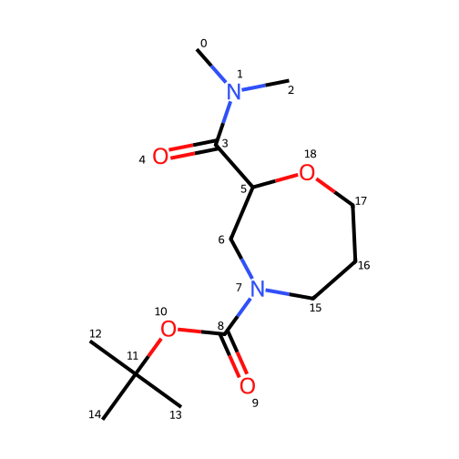 CN(C)C(=O)C1CN(C(=O)OC(C)(C)C)CCCO1